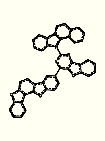 c1ccc2c(c1)ccc1c3ccccc3n(-c3nc(-c4ccc5oc6c(ccc7oc8ccccc8c76)c5c4)c4oc5ccccc5c4n3)c21